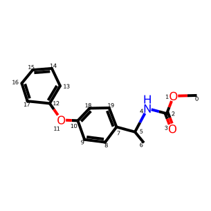 COC(=O)NC(C)c1ccc(Oc2ccccc2)cc1